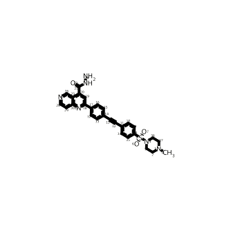 CN1CCN(S(=O)(=O)c2ccc(C#Cc3ccc(-c4cc(C(=O)NN)c5cnccc5n4)cc3)cc2)CC1